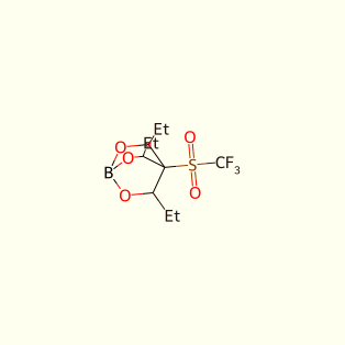 CCC1OB2OC(CC)C1(S(=O)(=O)C(F)(F)F)C(CC)O2